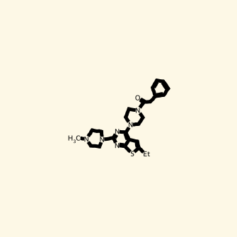 CCc1cc2c(N3CCN(C(=O)Cc4ccccc4)CC3)nc(N3CCN(C)CC3)nc2s1